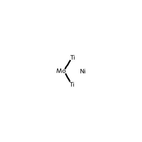 [Ni].[Ti][Mo][Ti]